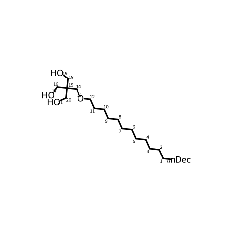 CCCCCCCCCCCCCCCCCCCCCCOCC(CO)(CO)CO